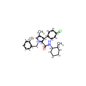 Cc1cn(Cc2ccccc2Br)c(C(=O)NC2CCCCC2C)c1-c1ccc(Cl)cc1